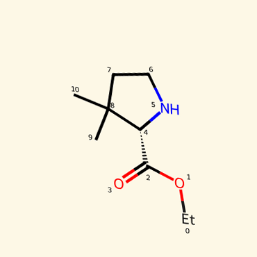 CCOC(=O)[C@H]1NCCC1(C)C